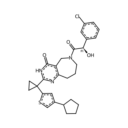 O=C([C@H](O)c1cccc(Cl)c1)N1CCCc2nc(C3(c4cc(C5CCCC5)cs4)CC3)[nH]c(=O)c2C1